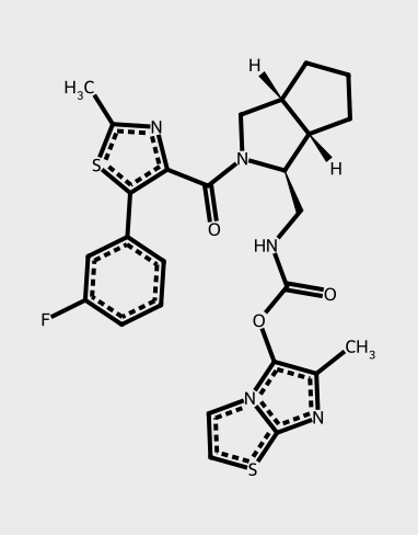 Cc1nc(C(=O)N2C[C@@H]3CCC[C@@H]3[C@H]2CNC(=O)Oc2c(C)nc3sccn23)c(-c2cccc(F)c2)s1